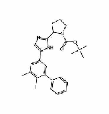 Cc1cc(-c2cnc(C3CCCN3C(=O)OC(C)(C)C)[nH]2)cc(-c2ccccc2)c1I